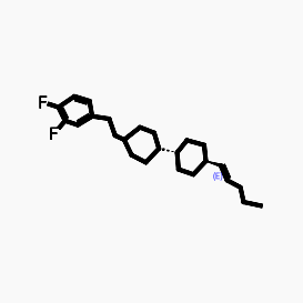 CCC/C=C/[C@H]1CC[C@H](C2CCC(CCc3ccc(F)c(F)c3)CC2)CC1